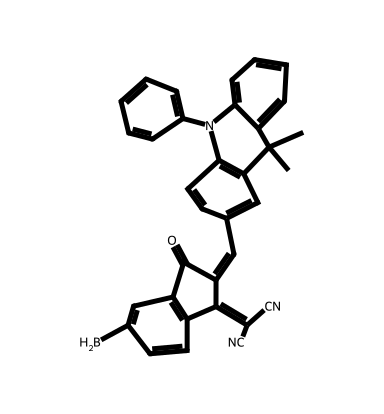 Bc1ccc2c(c1)C(=O)/C(=C\c1ccc3c(c1)C(C)(C)c1ccccc1N3c1ccccc1)C2=C(C#N)C#N